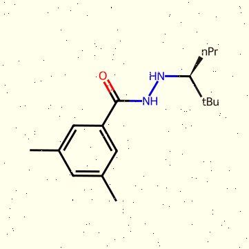 CCC[C@H](NNC(=O)c1cc(C)cc(C)c1)C(C)(C)C